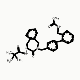 COC(=O)NCc1ccccc1-c1ccc(CN2Cc3ccccc3C[C@@H](NC(=O)C(C)(C)N)C2=O)cc1